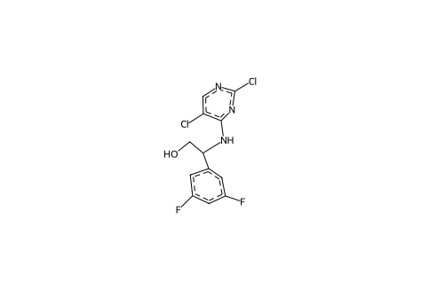 OCC(Nc1nc(Cl)ncc1Cl)c1cc(F)cc(F)c1